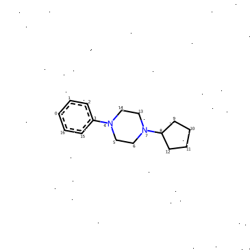 c1ccc(N2CCN(C3CCCC3)CC2)cc1